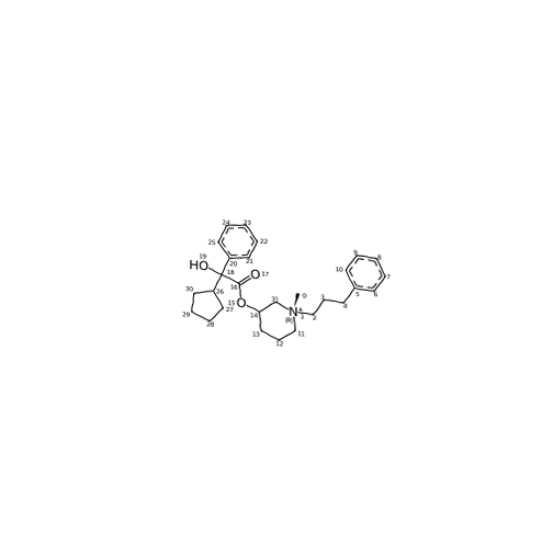 C[N@@+]1(CCCc2ccccc2)CCCC(OC(=O)C(O)(c2ccccc2)C2CCCC2)C1